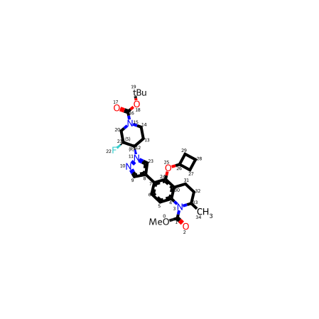 COC(=O)N1c2ccc(-c3cnn([C@@H]4CCN(C(=O)OC(C)(C)C)C[C@@H]4F)c3)c(OC3CCC3)c2CCC1C